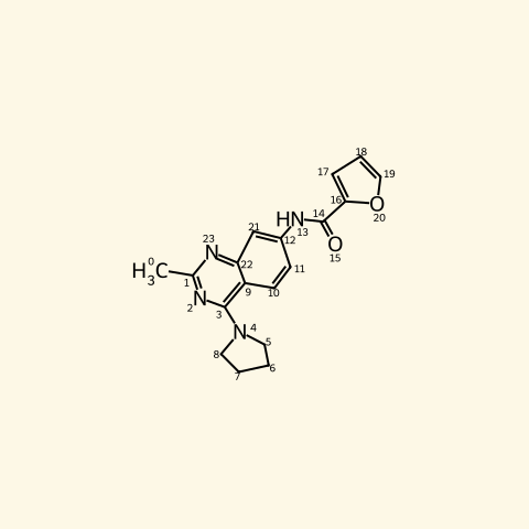 Cc1nc(N2CCCC2)c2ccc(NC(=O)c3ccco3)cc2n1